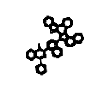 CN1c2ccccc2C(c2ccccc2)=NC1c1ccc(-n2c3ccc4ccccc4c3c3c4ccccc4c4c5ccccc5oc4c32)c2ccccc12